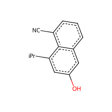 CC(C)c1cc(O)cc2cccc(C#N)c12